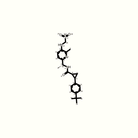 Cc1nc([C@@H](C)NC(=O)C2CC2c2ccc(C(C)(C)C)cc2)ccc1NC[SH](=O)=O